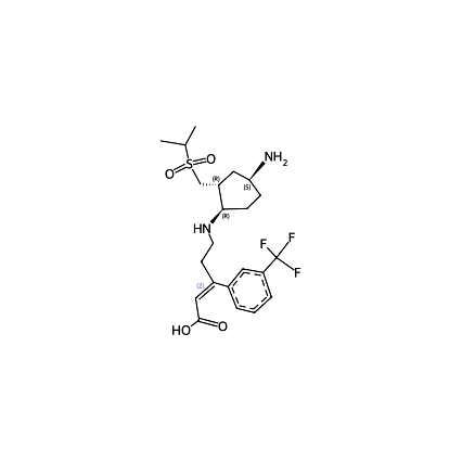 CC(C)S(=O)(=O)C[C@@H]1C[C@@H](N)CC[C@H]1NCC/C(=C/C(=O)O)c1cccc(C(F)(F)F)c1